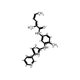 C/C=C\C=C(/C)C(=O)Nc1ccc(C)c(Nc2nc(-c3cccnc3)cs2)c1